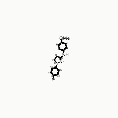 COc1ccc(NC2=NN(c3ccc(F)cc3)CC2)cc1